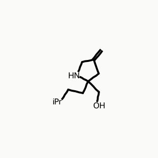 C=C1CNC(CO)(CCC(C)C)C1